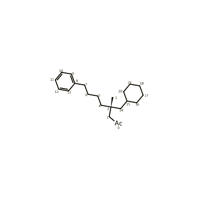 CC(=O)C[C@](C)(CCCCc1ccccc1)CC1CCCCC1